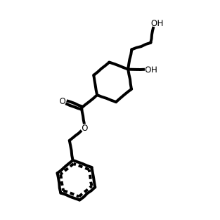 O=C(OCc1ccccc1)C1CCC(O)(CCO)CC1